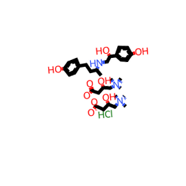 CC(CCc1ccc(O)cc1)NCC(O)c1ccc(O)cc1.C[N+](C)(C)CC(O)CC(=O)[O-].C[N+](C)(C)CC(O)CC(=O)[O-].Cl